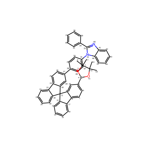 CC1(C)OB(c2ccc3c(c2)C2(c4ccccc4-3)c3ccccc3-c3ccc(-c4ccc(-n5c(-c6ccccc6)nc6ccccc65)cc4)cc32)OC1(C)C